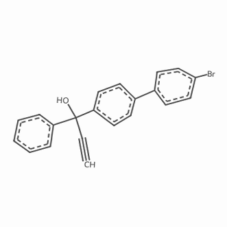 C#CC(O)(c1ccccc1)c1ccc(-c2ccc(Br)cc2)cc1